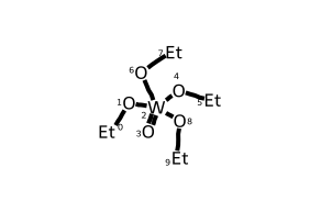 CC[O][W](=[O])([O]CC)([O]CC)[O]CC